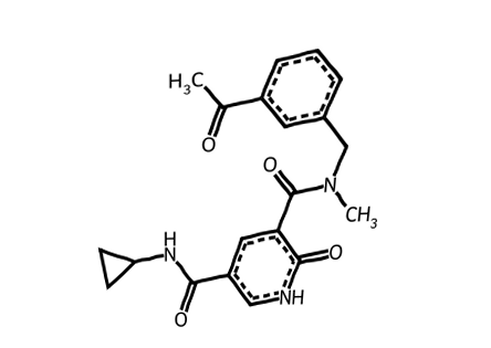 CC(=O)c1cccc(CN(C)C(=O)c2cc(C(=O)NC3CC3)c[nH]c2=O)c1